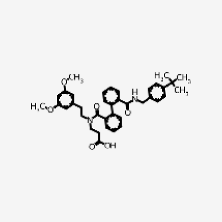 COc1cc(CCN(CCC(=O)O)C(=O)c2ccccc2-c2ccccc2C(=O)NCc2ccc(C(C)(C)C)cc2)cc(OC)c1